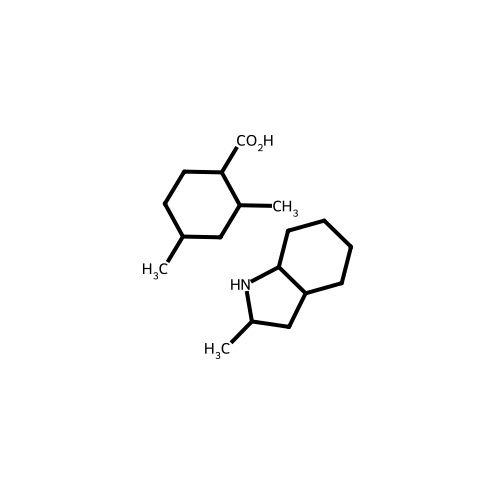 CC1CC2CCCCC2N1.CC1CCC(C(=O)O)C(C)C1